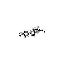 CN(C)c1ccc(-c2ccc3c(c2)CC(C)(N)C3)cc1